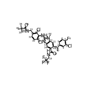 CN(c1ccc(F)c(Cl)c1)c1cc2c(cc1C(=O)NCC(F)(F)F)nc(Nc1c(Cl)ccc(CNC(=O)C(C)(C)C)c1Cl)n2C